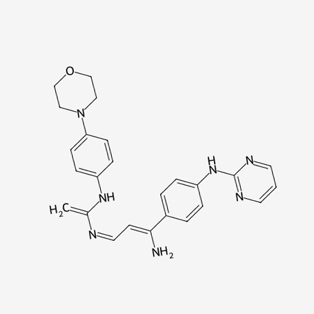 C=C(/N=C\C=C(/N)c1ccc(Nc2ncccn2)cc1)Nc1ccc(N2CCOCC2)cc1